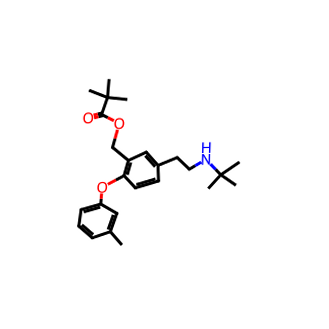 Cc1cccc(Oc2ccc(CCNC(C)(C)C)cc2COC(=O)C(C)(C)C)c1